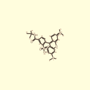 CN(C)c1ccc2c(-c3ccc(C(=O)NC(C)(C)C)cc3S(=O)(=O)O)c3ccc(=[N+](C)C)cc-3oc2c1